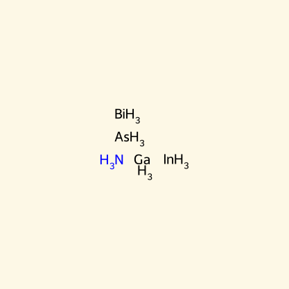 N.[AsH3].[BiH3].[GaH3].[InH3]